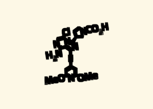 COc1cc(C#Cc2nc([C@H]3CCN(C(=O)O)C3)n3c(Cl)cnc(N)c23)cc(OC)n1